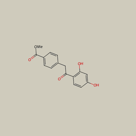 COC(=O)c1ccc(CC(=O)c2ccc(O)cc2O)cc1